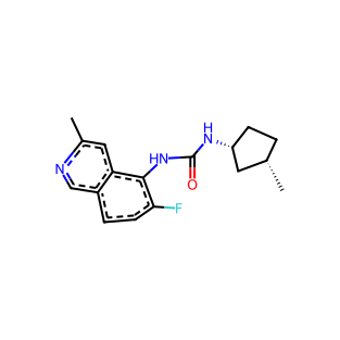 Cc1cc2c(NC(=O)N[C@@H]3CC[C@H](C)C3)c(F)ccc2cn1